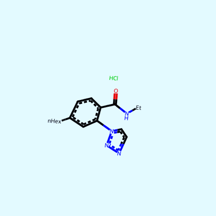 CCCCCCc1ccc(C(=O)NCC)c(-n2ccnn2)c1.Cl